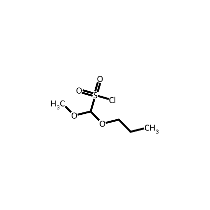 CCCOC(OC)S(=O)(=O)Cl